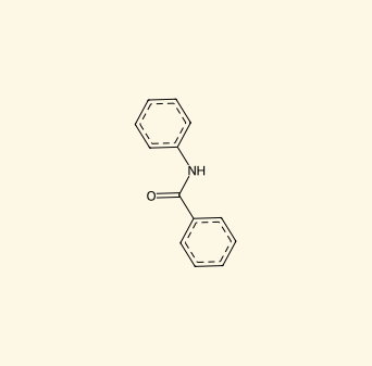 O=C(Nc1ccccc1)c1ccccc1